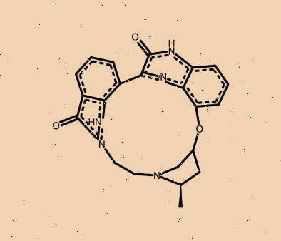 C[C@@H]1CC2CN1CCn1[nH]c3c(cccc3c1=O)-c1nc3c(cccc3[nH]c1=O)O2